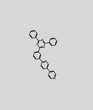 c1ccc(-c2nc(-c3ccccc3)nc(-c3cccc(-c4ccc(-c5ccncc5)cn4)c3)n2)cc1